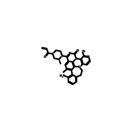 C=CC(=O)N1CCN(c2nc(=O)n(-c3c(C)ccnc3C(C)C)c3c4c(c(C)cc23)-c2c(P)cccc2CCO4)[C@@H](C)C1